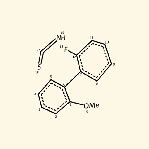 COc1ccccc1-c1ccccc1F.N=C=S